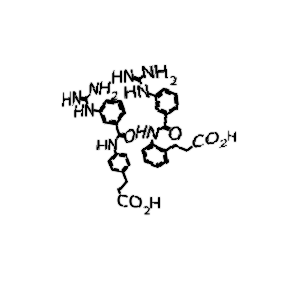 N=C(N)Nc1cccc(C(=O)Nc2ccc(CCC(=O)O)cc2)c1.N=C(N)Nc1cccc(C(=O)Nc2ccccc2CCC(=O)O)c1